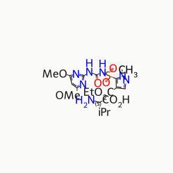 CC(C)[C@H](N)C(=O)O.CCOC(=O)c1cnn(C)c1S(=O)(=O)NC(=O)Nc1nc(OC)cc(OC)n1